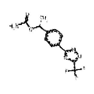 C[C@@H](OC(N)=O)c1ccc(-c2noc(C(F)(F)F)n2)cc1